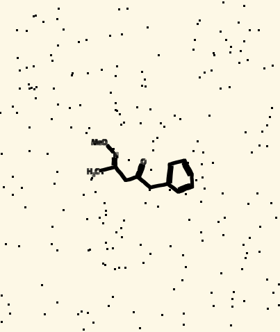 CON=C(C)CC(=O)Cc1ccccc1